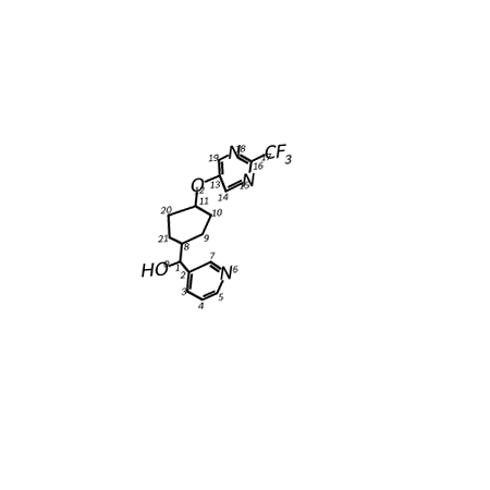 OC(c1cccnc1)C1CCC(Oc2cnc(C(F)(F)F)nc2)CC1